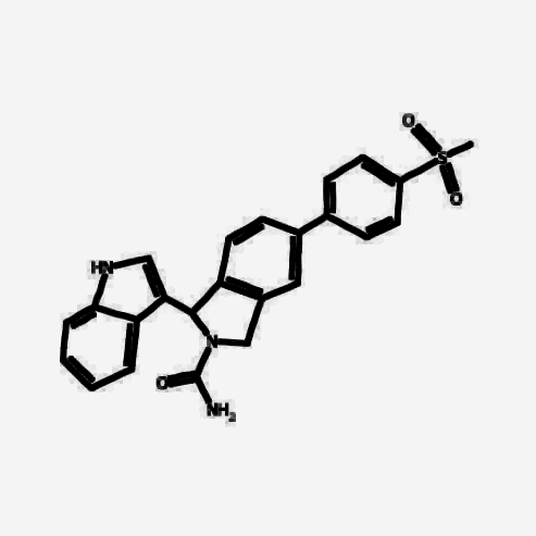 CS(=O)(=O)c1ccc(-c2ccc3c(c2)CN(C(N)=O)C3c2c[nH]c3ccccc23)cc1